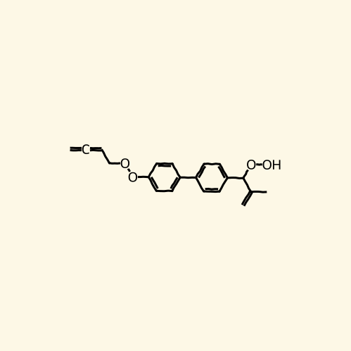 C=C=CCOOc1ccc(-c2ccc(C(OO)C(=C)C)cc2)cc1